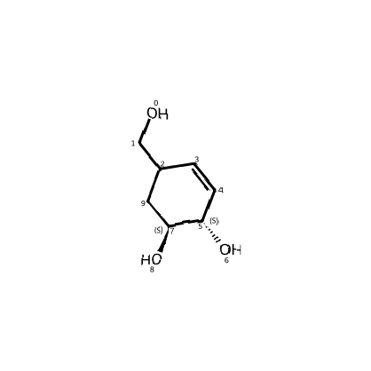 OCC1C=C[C@H](O)[C@@H](O)C1